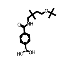 CC(C)(CCOC(C)(C)C)CNC(=O)c1ccc(B(O)O)cc1